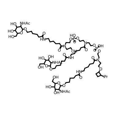 CC(=O)NC1C(OCCCCCC(=O)NCCCCCC(=O)N(CCO)CCOP(=O)(O)OCCN(CCOP(=O)(O)OCCN(CCOC2CCC2C(C)C)C(=O)CCCCCNC(=O)CCCCCOC2OC(CO)C(O)C(O)C2NC(C)=O)C(=O)CCCCCNC(=O)CCCCCOC2OC(CO)C(O)C(O)C2NC(C)=O)OC(CO)C(O)C1O